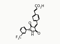 O=C(O)C=Cc1ccc(C=C2C(=O)NN(c3cccc(C(F)(F)F)c3)C2=O)cc1